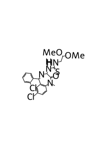 COC(CNC(=S)NC1N=C(c2ccccc2Cl)c2cc(Cl)ccc2N(C)C1=O)OC